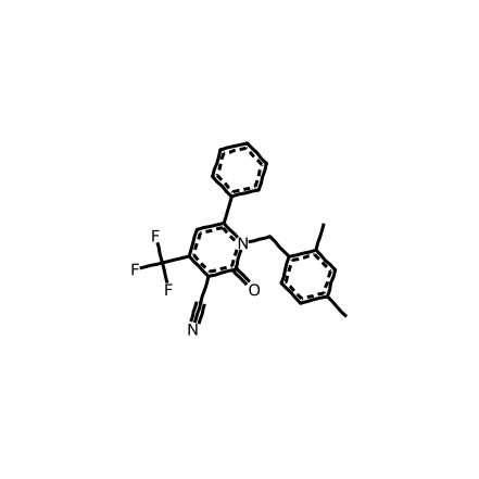 Cc1ccc(Cn2c(-c3ccccc3)cc(C(F)(F)F)c(C#N)c2=O)c(C)c1